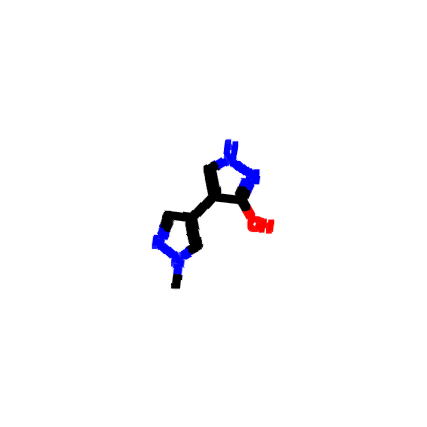 Cn1cc(-c2c[nH]nc2O)cn1